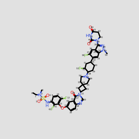 CCN(C)S(=O)(=O)Nc1ccc(F)c(Oc2ccc3ncn(C4CC5(CCN(C6CCC(c7cc8c(cc7F)c(N7CCC(=O)NC7=O)nn8C)CC6F)CC5)C4)c(=O)c3c2)c1F